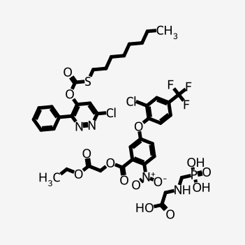 CCCCCCCCSC(=O)Oc1cc(Cl)nnc1-c1ccccc1.CCOC(=O)COC(=O)c1cc(Oc2ccc(C(F)(F)F)cc2Cl)ccc1[N+](=O)[O-].O=C(O)CNCP(=O)(O)O